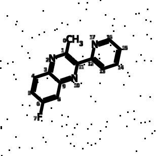 Cc1nc2ccc(F)cc2nc1-c1ccccn1